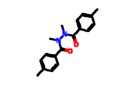 Cc1ccc(C(=O)N(C)N(C)C(=O)c2ccc(C)cc2)cc1